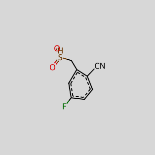 N#Cc1ccc(F)cc1C[SH](=O)=O